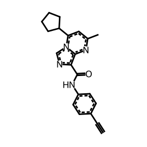 C#Cc1ccc(NC(=O)c2ncn3c(C4CCCC4)cc(C)nc23)cc1